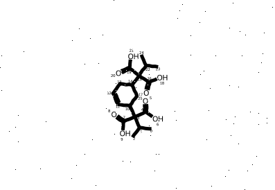 CC(C)C(C(=O)O)(C(=O)O)C1C=CCC(C(C(=O)O)(C(=O)O)C(C)C)C1